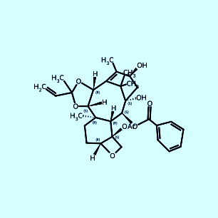 C=CC1(C)O[C@@H]2C3=C(C)[C@@H](O)C[C@@](O)([C@@H](OC(=O)c4ccccc4)[C@H]4[C@@](C)(CC[C@H]5OC[C@]54OC(C)=O)[C@@H]2O1)C3(C)C